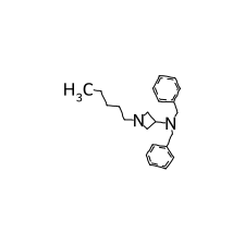 CCCCCN1CC(N(Cc2ccccc2)Cc2ccccc2)C1